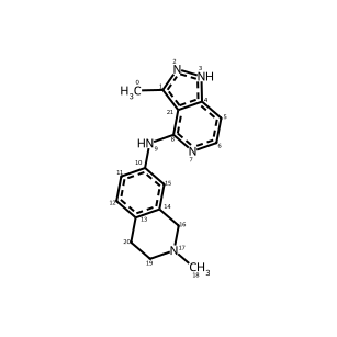 Cc1n[nH]c2ccnc(Nc3ccc4c(c3)CN(C)CC4)c12